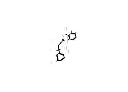 Cc1c(Cl)ccc(NC(=O)C(C)(C)CC(C)(C)c2cc(O)ccc2O)c1Cl